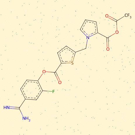 N=C(N)c1ccc(OC(=O)c2ccc(Cn3cccc3C(=O)OC(=O)C(F)(F)F)s2)c(F)c1